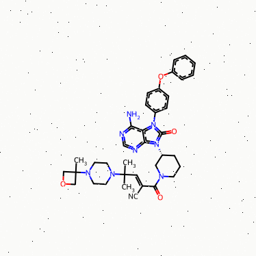 CC(C)(C=C(C#N)C(=O)N1CCC[C@@H](n2c(=O)n(-c3ccc(Oc4ccccc4)cc3)c3c(N)ncnc32)C1)N1CCN(C2(C)COC2)CC1